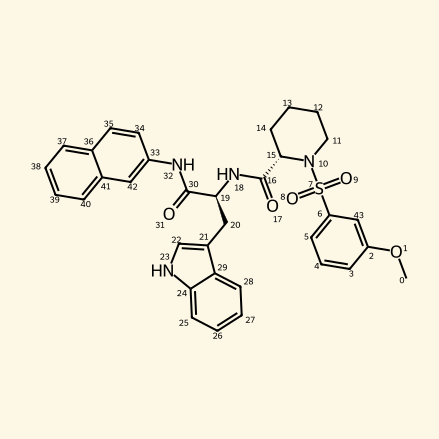 COc1cccc(S(=O)(=O)N2CCCC[C@H]2C(=O)N[C@@H](Cc2c[nH]c3ccccc23)C(=O)Nc2ccc3ccccc3c2)c1